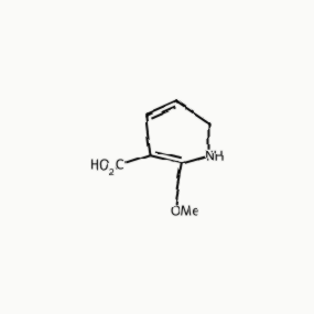 COC1=C(C(=O)O)C=CCN1